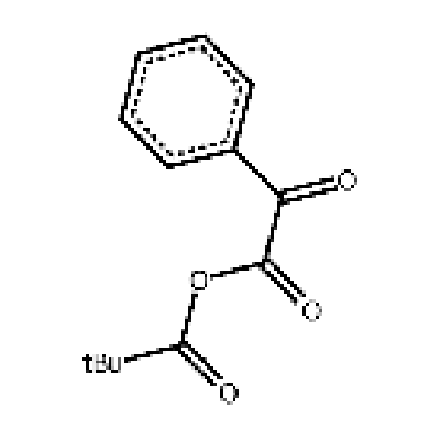 CC(C)(C)C(=O)OC(=O)C(=O)c1ccccc1